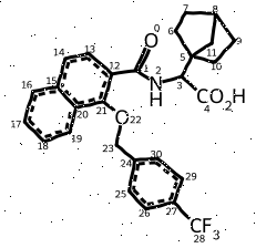 O=C(NC(C(=O)O)C12CCC(CC1)C2)c1ccc2ccccc2c1OCc1ccc(C(F)(F)F)cc1